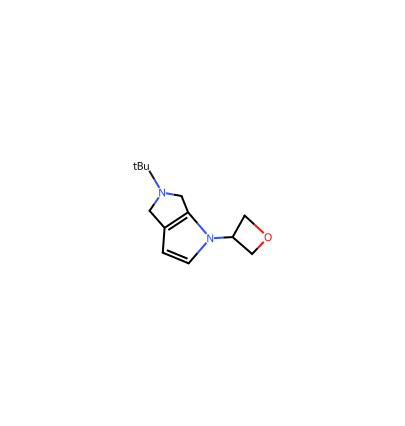 CC(C)(C)N1Cc2ccn(C3COC3)c2C1